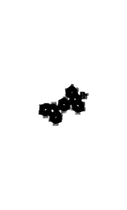 Brc1c2ccccc2c(-c2ccc(-c3cc4ccccc4c4ccccc34)cc2)c2ccccc12